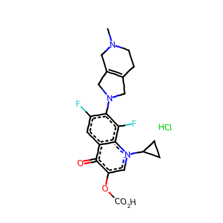 CN1CCC2=C(C1)CN(c1c(F)cc3c(=O)c(OC(=O)O)cn(C4CC4)c3c1F)C2.Cl